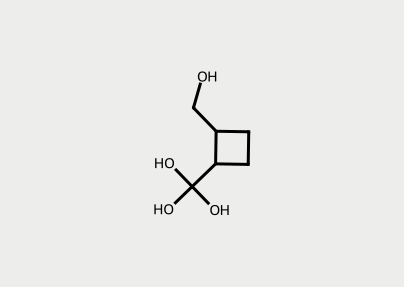 OCC1CCC1C(O)(O)O